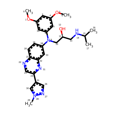 COc1cc(OC)cc(N(C[C@@H](O)CNC(C)C)c2ccc3ncc(-c4cnn(C)c4)nc3c2)c1